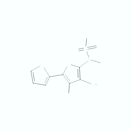 CCS(=O)(=O)N(C)c1oc(-c2cccs2)c(O)c1O